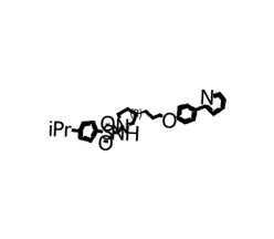 CC(C)c1ccc(S(=O)(=O)NN2CC[C@@H](CCCOc3ccc(-c4ccccn4)cc3)C2)cc1